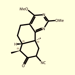 [C-]#[N+]C1C[C@]2(C)c3nc(OC)nc(OC)c3CC[C@H]2[C@H](C)C1=O